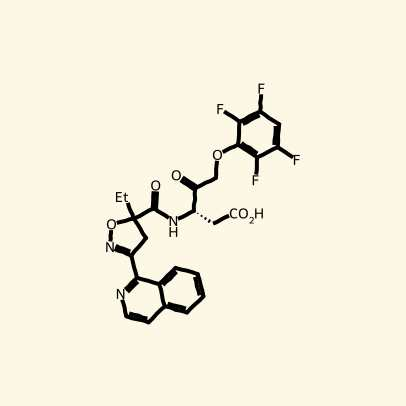 CCC1(C(=O)N[C@@H](CC(=O)O)C(=O)COc2c(F)c(F)cc(F)c2F)CC(c2nccc3ccccc23)=NO1